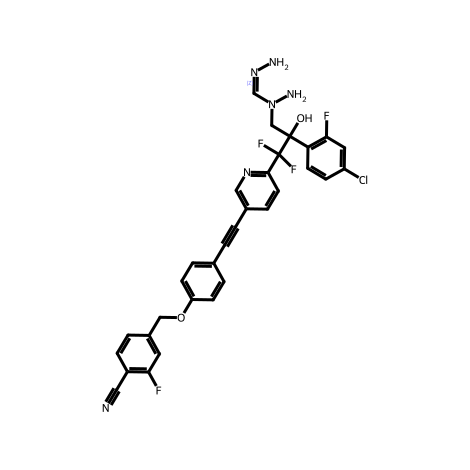 N#Cc1ccc(COc2ccc(C#Cc3ccc(C(F)(F)C(O)(CN(N)/C=N\N)c4ccc(Cl)cc4F)nc3)cc2)cc1F